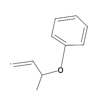 [CH]=CC(C)Oc1ccccc1